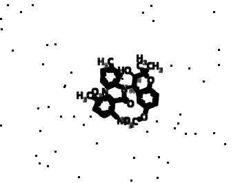 Cc1ccc([N+](=O)[O-])c(C(=O)N(c2cc(C)ccc2[N+](=O)[O-])[C@@H]2c3cc(OC(F)(F)F)ccc3OC(C)(C)[C@H]2O)c1